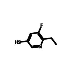 CCc1ncc(S)cc1F